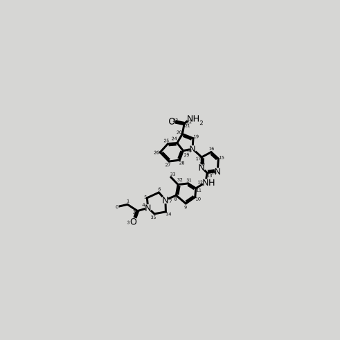 CCC(=O)N1CCN(c2ccc(Nc3nccc(-n4cc(C(N)=O)c5ccccc54)n3)cc2C)CC1